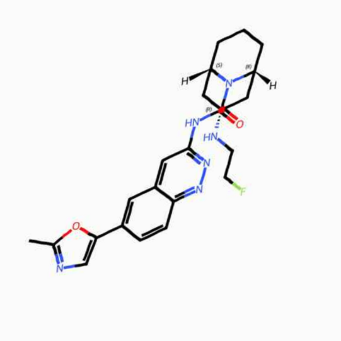 Cc1ncc(-c2ccc3nnc(NC(=O)N4[C@@H]5CCC[C@H]4C[C@@H](NCCF)C5)cc3c2)o1